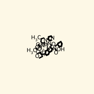 C[C@@H]1C[C@H](NC(=O)OC(C)(C)C)CN(c2ccncc2NC(=O)c2nc3cc(C4=CCOCC4)ccc3cc2N(Cc2ccccc2)C(=O)O)C1